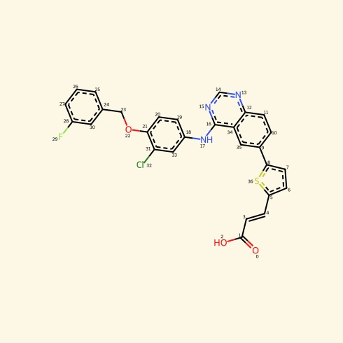 O=C(O)C=Cc1ccc(-c2ccc3ncnc(Nc4ccc(OCc5cccc(F)c5)c(Cl)c4)c3c2)s1